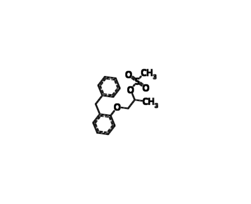 CC(COc1ccccc1Cc1ccccc1)OS(C)(=O)=O